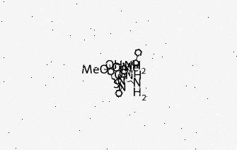 COc1cc(C=C2SC(=Nc3ccccc3)N([C@@H](CCCN)C(=O)N[C@@H](Cc3ccc(-c4ccccc4)cc3)C(N)=O)C2=O)cc(OC)c1O